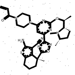 C=CC(=O)N1CCN(c2cc(-c3noc([C@@]4(C)CCCc5sc(N)c(C#N)c54)n3)nc(O[C@@H](C)[C@@H]3CC[C@H](C)N3C)n2)CC1